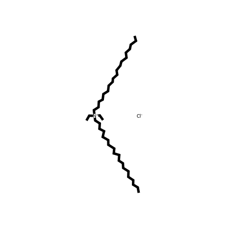 CCCCCCCCCCCCCCCCCCC[N+](CC)(CC)CCCCCCCCCCCCCCCCCCC.[Cl-]